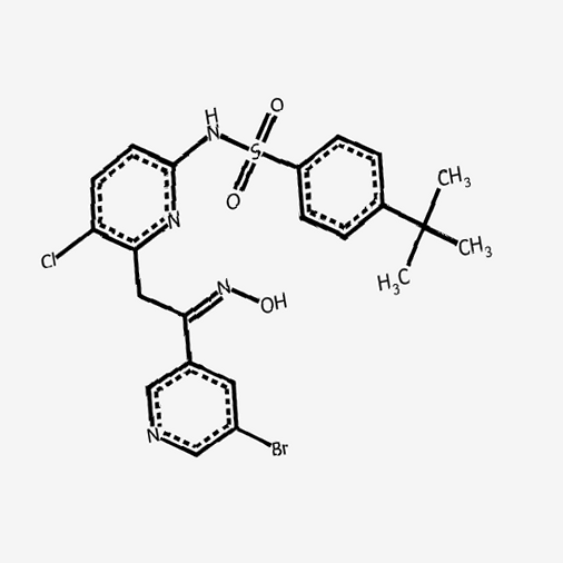 CC(C)(C)c1ccc(S(=O)(=O)Nc2ccc(Cl)c(CC(=NO)c3cncc(Br)c3)n2)cc1